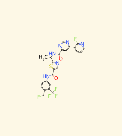 CC(NC(=O)c1cc(-c2cccnc2F)ncn1)c1ncc(C(=O)Nc2ccc(CF)c(C(F)(F)F)c2)s1